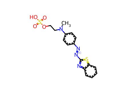 CN(CCOS(=O)(=O)O)c1ccc(/N=N/c2nc3ccccc3s2)cc1